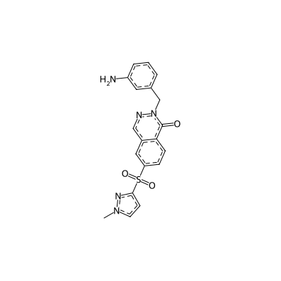 Cn1ccc(S(=O)(=O)c2ccc3c(=O)n(Cc4cccc(N)c4)ncc3c2)n1